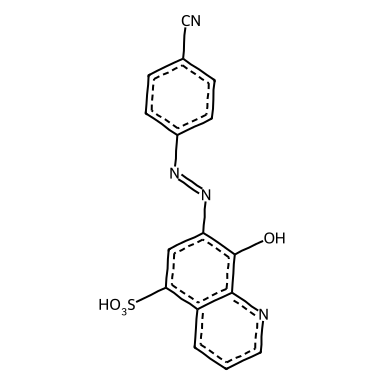 N#Cc1ccc(/N=N/c2cc(S(=O)(=O)O)c3cccnc3c2O)cc1